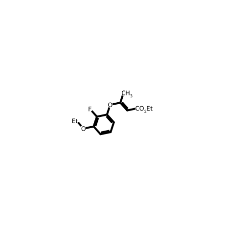 CCOC(=O)C=C(C)Oc1cccc(OCC)c1F